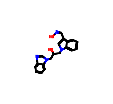 O/N=C\c1cn(CC(O)Cn2cnc3ccccc32)c2ccccc12